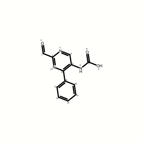 O=Cc1ncc(NC(=O)O)c(-c2ccccc2)n1